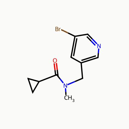 CN(Cc1cncc(Br)c1)C(=O)C1CC1